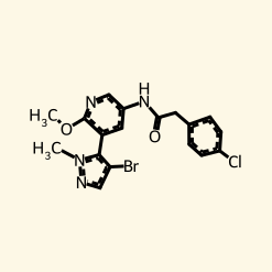 COc1ncc(NC(=O)Cc2ccc(Cl)cc2)cc1-c1c(Br)cnn1C